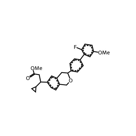 COC(=O)CC(c1ccc2c(c1)CC(c1ccc(-c3cc(OC)ccc3F)cc1)OC2)C1CC1